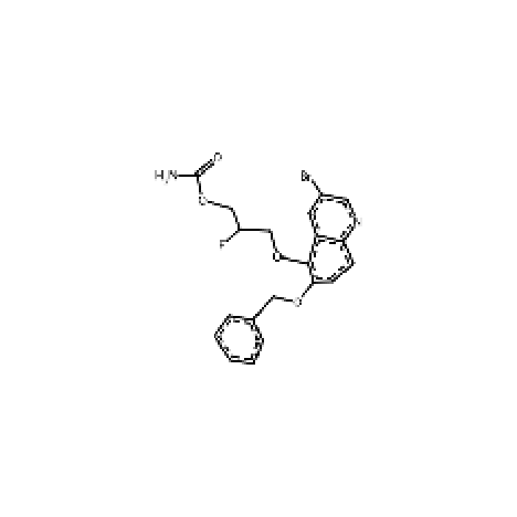 NC(=O)OCC(F)COc1c(OCc2ccccc2)ccc2ncc(Br)cc12